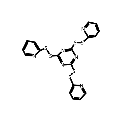 c1ccc(SSc2nc(SSc3ccccn3)nc(SSc3ccccn3)n2)nc1